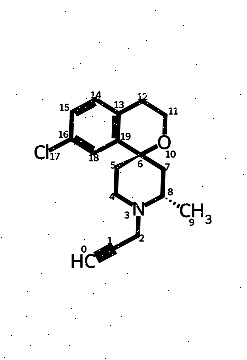 C#CCN1CC[C@]2(C[C@@H]1C)OCCc1ccc(Cl)cc12